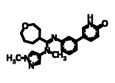 CN(/C(=N\c1cccc(-c2ccc(=O)[nH]c2)c1)C1CCCOCC1)c1cnn(C)c1